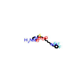 Nc1ccn(C2CSC(COC(=O)CCCCCNCc3ccc(F)c(F)c3F)O2)c(=O)n1